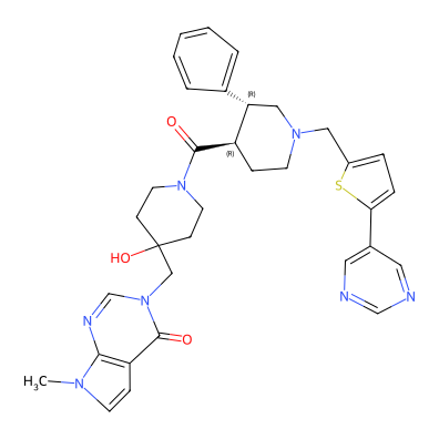 Cn1ccc2c(=O)n(CC3(O)CCN(C(=O)[C@@H]4CCN(Cc5ccc(-c6cncnc6)s5)C[C@H]4c4ccccc4)CC3)cnc21